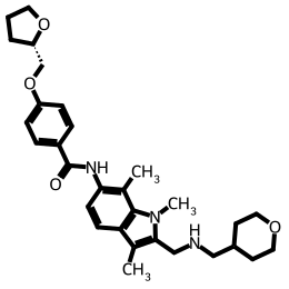 Cc1c(CNCC2CCOCC2)n(C)c2c(C)c(NC(=O)c3ccc(OC[C@@H]4CCCO4)cc3)ccc12